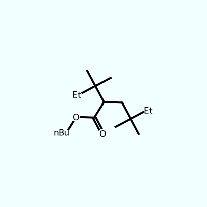 CCCCOC(=O)C(CC(C)(C)CC)C(C)(C)CC